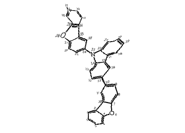 c1ccc2c(c1)oc1ccc(-c3ccc4c(c3)c3ccccc3n4-c3ccc4oc5cnccc5c4c3)cc12